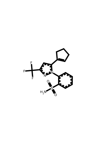 NS(=O)(=O)c1ccccc1-n1nc(C(F)(F)F)cc1C1=CCCC1